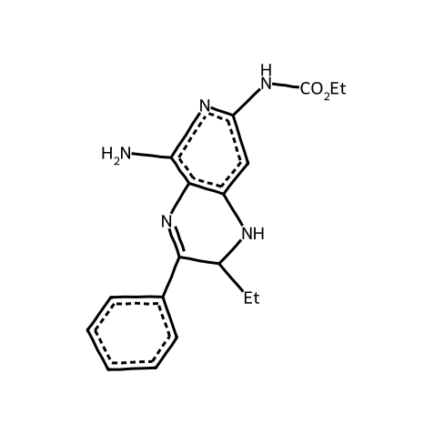 CCOC(=O)Nc1cc2c(c(N)n1)N=C(c1ccccc1)C(CC)N2